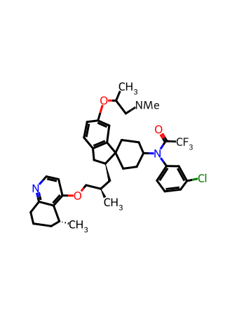 CNCC(C)Oc1ccc2c(c1)C1(CCC(N(C(=O)C(F)(F)F)c3cccc(Cl)c3)CC1)[C@@H](C[C@@H](C)COc1ccnc3c1[C@H](C)CCC3)C2